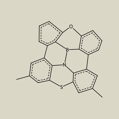 Cc1cc2c3c(c1)-c1cccc4c1B1c5c(cccc5-c5cc(C)cc(c5N13)S2)O4